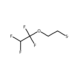 FC(F)C(F)(F)OCC[S]